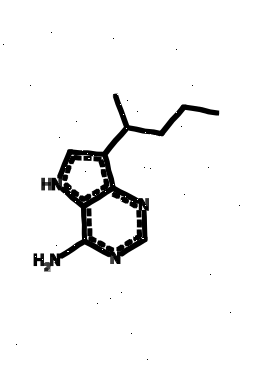 CCCC(C)c1c[nH]c2c(N)ncnc12